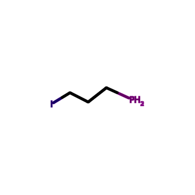 PCCCI